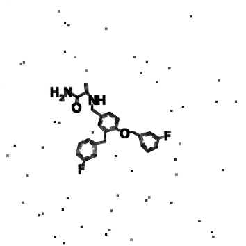 C=C(NCc1ccc(OCc2cccc(F)c2)c(Cc2cccc(F)c2)c1)C(N)=O